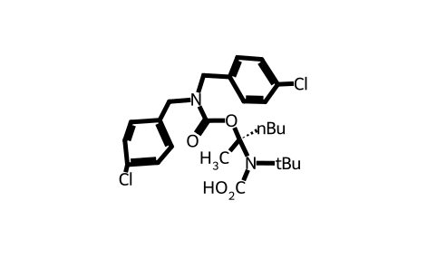 CCCC[C@](C)(OC(=O)N(Cc1ccc(Cl)cc1)Cc1ccc(Cl)cc1)N(C(=O)O)C(C)(C)C